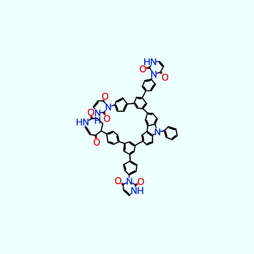 O=C1CCC(c2ccc(-c3cc(-c4ccc(-n5c(=O)cc[nH]c5=O)cc4)cc(-c4ccc5c(c4)c4cc(-c6cc(-c7ccc(-n8c(=O)cc[nH]c8=O)cc7)cc(-c7ccc(-n8c(=O)cc[nH]c8=O)cc7)c6)ccc4n5-c4ccccc4)c3)cc2)C(=O)/C=C\N1